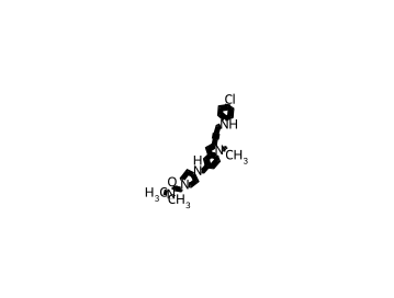 CCn1c(C#CCNc2ccc(Cl)cc2)cc2cc(CNC3CCN(CC(=O)N(C)C)CC3)ccc21